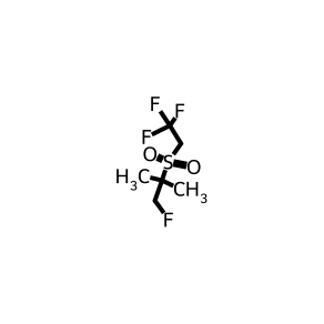 CC(C)(CF)S(=O)(=O)CC(F)(F)F